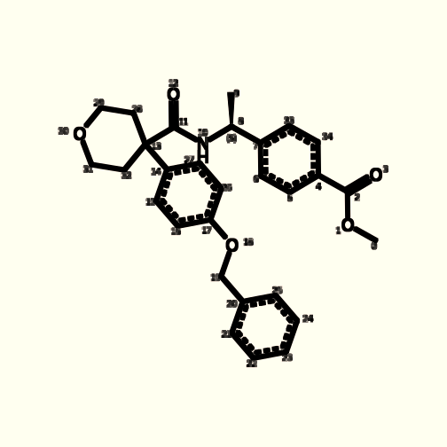 COC(=O)c1ccc([C@H](C)NC(=O)C2(c3ccc(OCc4ccccc4)cc3)CCOCC2)cc1